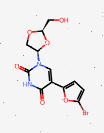 O=c1[nH]c(=O)n([C@H]2CO[C@@H](CO)O2)cc1-c1ccc(Br)o1